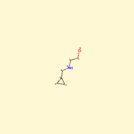 [O]CCNCC1CC1